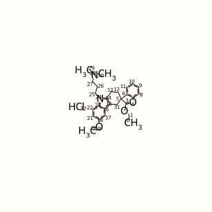 CCOC(=O)C1(c2ccccc2)CCc2c(c3cc(OC)ccc3n2CCCN(C)C)C1.Cl